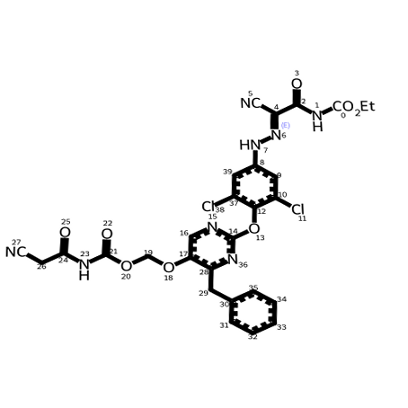 CCOC(=O)NC(=O)/C(C#N)=N/Nc1cc(Cl)c(Oc2ncc(OCOC(=O)NC(=O)CC#N)c(Cc3ccccc3)n2)c(Cl)c1